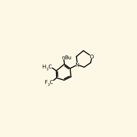 CC[CH]Cc1c(N2CCOCC2)ccc(C(F)(F)F)c1C